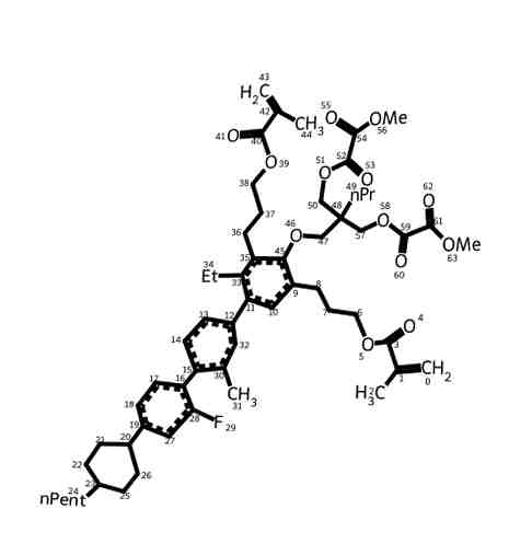 C=C(C)C(=O)OCCCc1cc(-c2ccc(-c3ccc(C4CCC(CCCCC)CC4)cc3F)c(C)c2)c(CC)c(CCCOC(=O)C(=C)C)c1OCC(CCC)(COC(=O)C(=O)OC)COC(=O)C(=O)OC